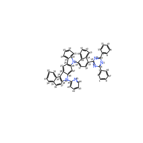 c1ccc(-c2nc(-c3ccccc3)nc(-c3ccc(-n4c5ccccc5c5cc6c7c8ccccc8ccc7n(-c7ccccn7)c6cc54)c4ccccc34)n2)cc1